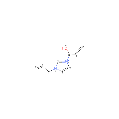 C=CCn1cc[n+](C(O)C=C)c1